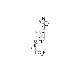 O=C(O)C1CCCN(C(=O)CN2CCN(C[C@@H](O)COc3cccc4ncccc34)CC2)C1